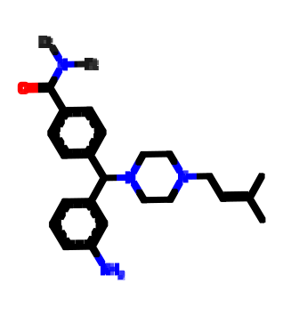 CCN(CC)C(=O)c1ccc(C(c2cccc(N)c2)N2CCN(CC=C(C)C)CC2)cc1